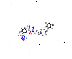 Cn1nnnc1-c1cc(NC(=O)NCCCN2CCC[C@@H](Cc3ccc(F)cc3)C2)ccc1F